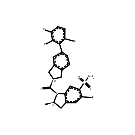 C[C@@H]1Cc2cc(F)c(S(N)(=O)=O)cc2N1C(=O)[C@@H]1Cc2ccc(-c3c(F)ccc(F)c3F)cc2C1